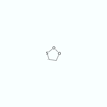 [CH]1COOS1